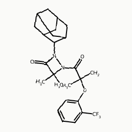 CC(C)(Oc1ccccc1C(F)(F)F)C(=O)N1N(C2C3CC4CC(C3)CC2C4)C(=O)C1(C)C